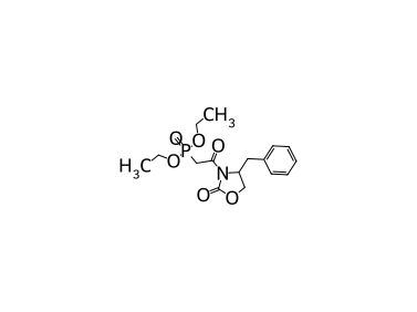 CCOP(=O)(CC(=O)N1C(=O)OCC1Cc1ccccc1)OCC